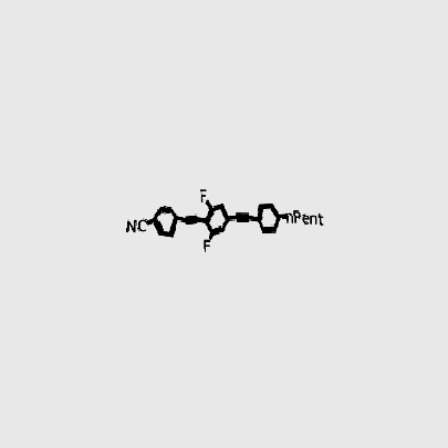 CCCCCc1ccc(C#Cc2cc(F)c(C#Cc3ccc(C#N)cc3)c(F)c2)cc1